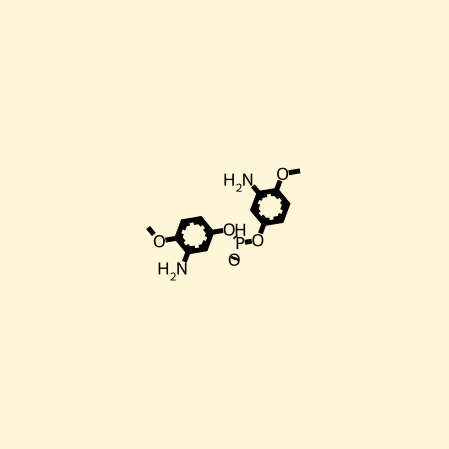 COc1ccc(O[PH](=O)Oc2ccc(OC)c(N)c2)cc1N